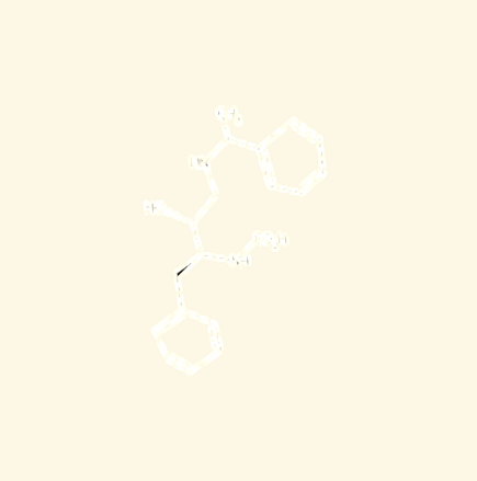 CC(NC[C@@H](O)[C@H](Cc1ccccc1)NC(=O)O)c1ccccc1